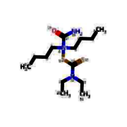 CCCC[N+](CCCC)(SC(=S)N(CC)CC)C(N)=O